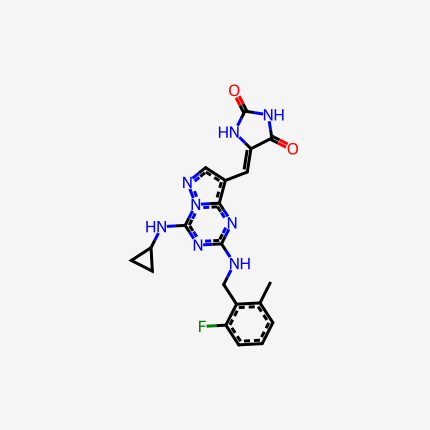 Cc1cccc(F)c1CNc1nc(NC2CC2)n2ncc(/C=C3\NC(=O)NC3=O)c2n1